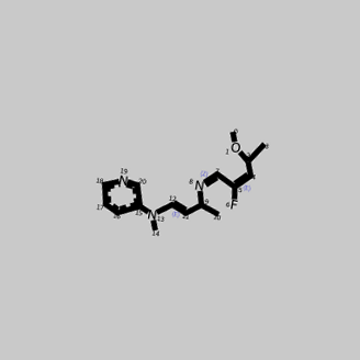 COC(C)/C=C(F)\C=N/C(C)/C=C/N(C)c1cccnc1